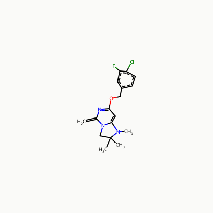 C=C1N=C(OCc2ccc(Cl)c(F)c2)C=C2N1CC(C)(C)N2C